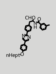 CCCCCCCOc1ccc(-c2cnc(-c3ccc(CC(C=O)NC(=O)c4cccc(C)c4)cc3)nc2)cc1